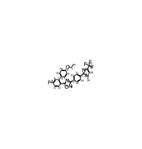 CCOc1ccc(-c2cc(F)ccc2-c2nc(-c3ccc(-c4nc(C(F)(F)F)cn4C)cc3)no2)cc1